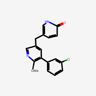 COc1ncc(Cc2ccc(=O)[nH]c2)cc1-c1cccc(Cl)c1